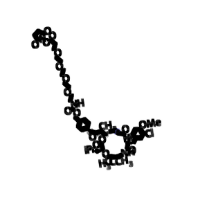 COc1ccc(C[C@H]2NC(=O)/C=C/C[C@@H]([C@H](C)[C@@H]3O[C@H]3c3ccc(COC(=O)NCCOCCOCCOCCOCCC(=O)ON4C(=O)CCC4=O)cc3)OC(=O)[C@H](CC(C)C)OC(=O)C(C)(C)CNC2=O)cc1Cl